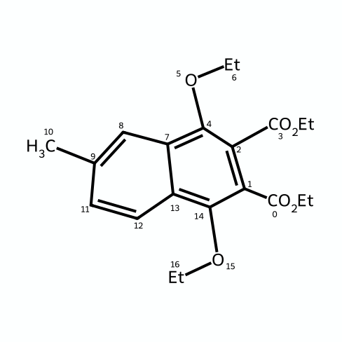 CCOC(=O)c1c(C(=O)OCC)c(OCC)c2cc(C)ccc2c1OCC